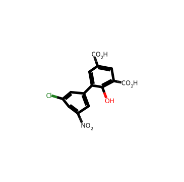 O=C(O)c1cc(C(=O)O)c(O)c(-c2cc(Cl)cc([N+](=O)[O-])c2)c1